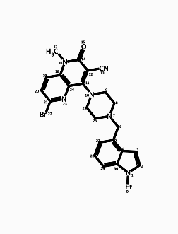 CCn1ccc2c(CN3CCN(c4c(C#N)c(=O)n(C)c5ccc(Br)nc45)CC3)cccc21